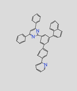 c1ccc(-c2cc(-c3ccccc3)nc(-c3cc(-c4ccc(-c5ccccn5)cc4)cc(-c4cccc5ccccc45)c3)n2)cc1